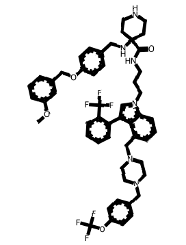 COc1cccc(COc2ccc(CNC3(C(=O)NCCCn4cc(-c5ccccc5C(F)(F)F)c5c(CN6CCN(Cc7ccc(OC(F)(F)F)cc7)CC6)cccc54)CCNCC3)cc2)c1